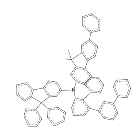 CC1(C)c2cc(-c3ccccc3)ccc2-c2ccc(N(c3ccc4c(c3)C(c3ccccc3)(c3ccccc3)c3ccccc3-4)c3cccc(-c4cccc(-c5ccccc5)c4)c3-c3ccccc3)cc21